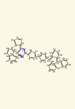 c1ccc(-c2nc(-c3ccc(-c4ccc(-c5c6ccccc6c(-c6ccccc6)c6ccccc56)cc4)cc3)nc3c2-c2cccc4cccc-3c24)cc1